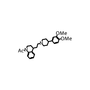 COc1ccc(C2CCN(CCC3CCN(C(C)=O)c4ccccc43)CC2)cc1OC